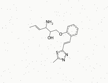 CC=CC(N)C(O)COc1ccccc1C=Cc1nnc(C)s1